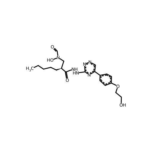 CCCCC[C@@H](CN(O)C=O)C(=O)NNc1nncc(-c2ccc(OCCO)cc2)n1